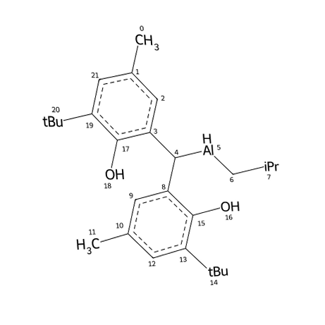 Cc1cc([CH]([AlH][CH2]C(C)C)c2cc(C)cc(C(C)(C)C)c2O)c(O)c(C(C)(C)C)c1